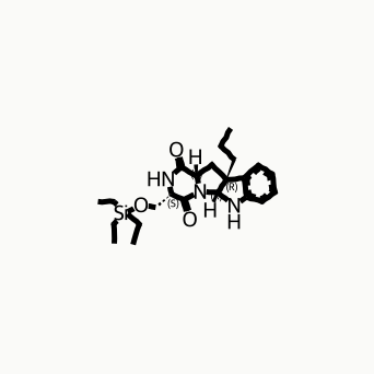 CCC[C@]12C[C@H]3C(=O)N[C@@H](CO[Si](CC)(CC)CC)C(=O)N3[C@H]1Nc1ccccc12